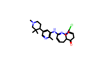 Cc1ncc(C2CCN(C)CC2(C)C)cc1NC1=NC23N=CN=C(Cl)C2=CCC(=O)C3CC=C1